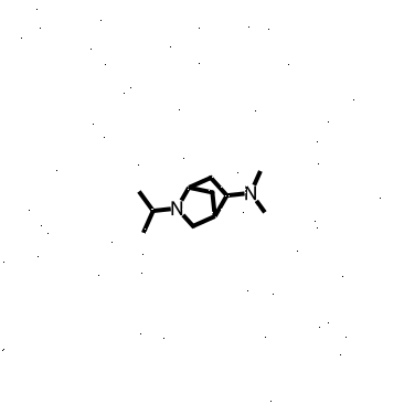 CC(C)N1CC2CC1CC2N(C)C